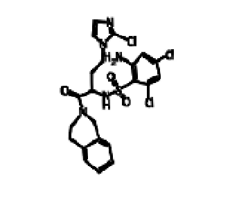 Nc1cc(Cl)cc(Cl)c1S(=O)(=O)NC(CCn1ccnc1Cl)C(=O)N1CCc2ccccc2C1